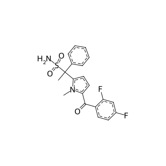 Cn1c(C(=O)c2ccc(F)cc2F)ccc1C(C)(c1ccccc1)S(N)(=O)=O